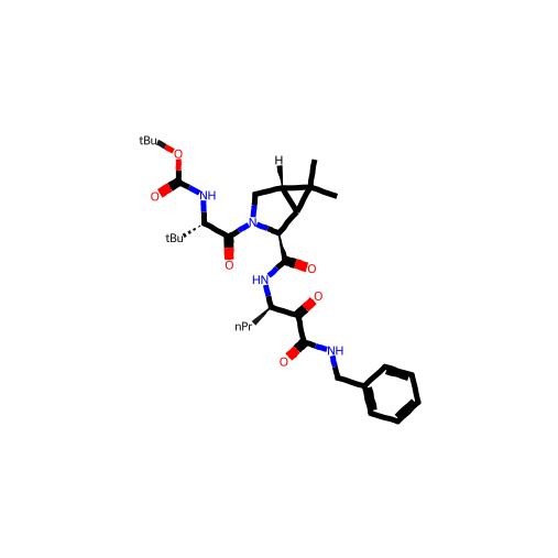 CCC[C@@H](NC(=O)[C@@H]1C2[C@H](CN1C(=O)[C@@H](NC(=O)OC(C)(C)C)C(C)(C)C)C2(C)C)C(=O)C(=O)NCc1ccccc1